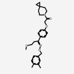 COCCC(=NOCc1ccc(C)c(C)c1)c1ccc(OCC(=O)N2CCC3(CC2)CC3)cc1